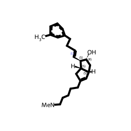 CNCCCCCC1=C[C@H]2C[C@@H](O)[C@H](/C=C/CCc3cccc(C)c3)[C@H]2C1